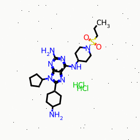 CCCS(=O)(=O)N1CCC(Nc2nc(N)nc3c2nc(C2CCC(N)CC2)n3C2CCCC2)CC1.Cl.Cl